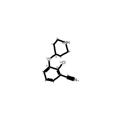 N#Cc1cccc(OC2CCNCC2)c1Cl